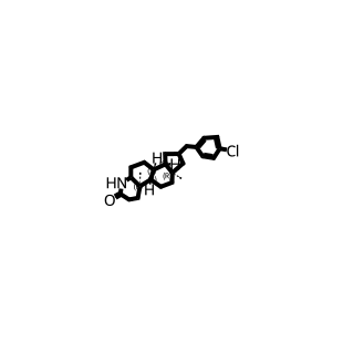 C[C@]12CC[C@@H]3[C@@H](CCC4NC(=O)CC[C@@]43C)[C@@H]1CC(Cc1ccc(Cl)cc1)C2